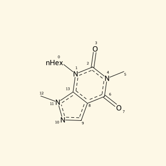 CCCCCCn1c(=O)n(C)c(=O)c2cnn(C)c21